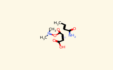 CC=CC(N)=O.CN(C)OC(=O)/C=C\C(=O)O